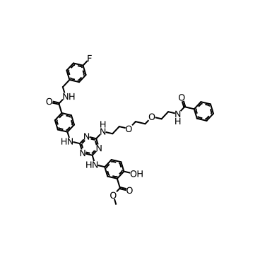 COC(=O)c1cc(Nc2nc(NCCOCCOCCNC(=O)c3ccccc3)nc(Nc3ccc(C(=O)NCc4ccc(F)cc4)cc3)n2)ccc1O